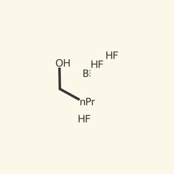 CCCCO.F.F.F.[B]